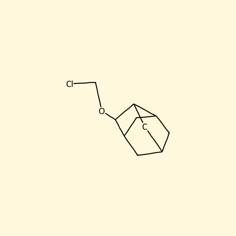 ClCOC1C2CC3CC(C2)C1C3